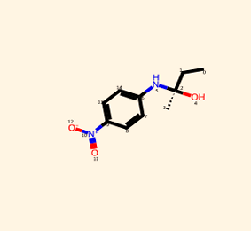 CC[C@@](C)(O)Nc1ccc([N+](=O)[O-])cc1